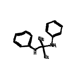 CCC(CC)(Nc1ccccc1)Nc1ccccc1